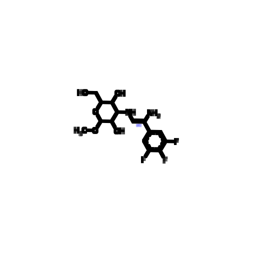 COC1OC(CO)C(O)C(N/C=C(\N)c2cc(F)c(F)c(F)c2)C1O